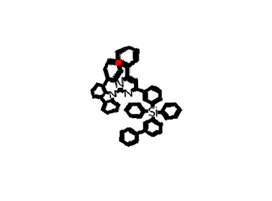 c1ccc(-c2cccc([Si](c3ccccc3)(c3ccccc3)c3cccc(-c4cc(-c5ccccc5)nc(-n5c6ccccc6c6cccc(-c7ccccc7)c65)n4)c3)c2)cc1